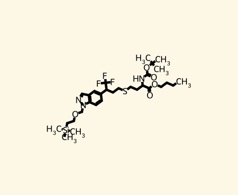 CCCCOC(=O)C(CCSCCC(c1ccc2c(cnn2COCC[Si](C)(C)C)c1)C(F)(F)F)NC(=O)OC(C)(C)C